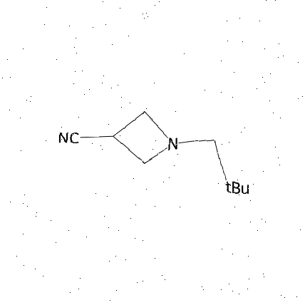 CC(C)(C)CN1CC(C#N)C1